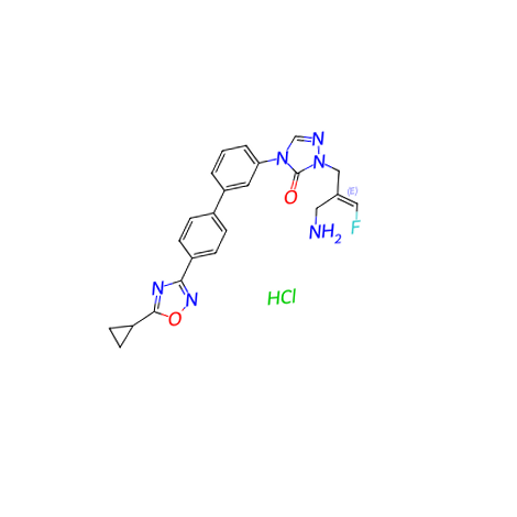 Cl.NC/C(=C\F)Cn1ncn(-c2cccc(-c3ccc(-c4noc(C5CC5)n4)cc3)c2)c1=O